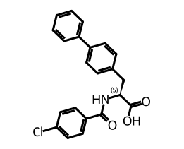 O=C(N[C@@H](Cc1ccc(-c2ccccc2)cc1)C(=O)O)c1ccc(Cl)cc1